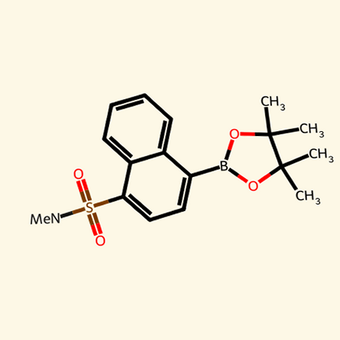 CNS(=O)(=O)c1ccc(B2OC(C)(C)C(C)(C)O2)c2ccccc12